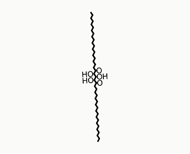 CCCCCCCCCCCCCCCCCCCC(=O)C(O)C(O)C(O)C(=O)CCCCCCCCCCCCCCCCCCC